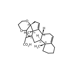 CC1OCCO[C@@]12CC=C1[C@@H]3CC=C4CCCC[C@]4(C)[C@H]3CC(CC(=O)O)[C@@]12C